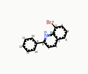 Brc1cccc2ccc(-c3ccccc3)nc12